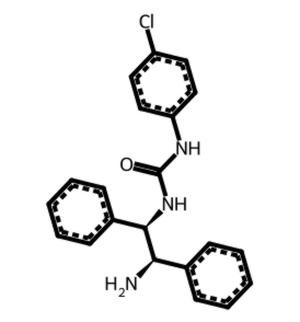 N[C@H](c1ccccc1)[C@H](NC(=O)Nc1ccc(Cl)cc1)c1ccccc1